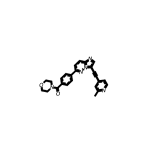 Cc1cc(C#Cc2cnc3ccc(-c4ccc(C(=O)N5CCOCC5)cc4)nn23)ccn1